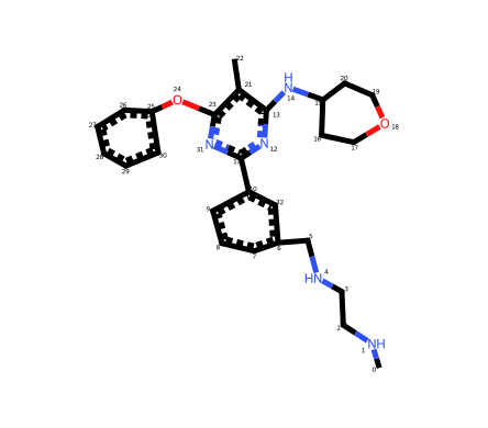 CNCCNCc1cccc(-c2nc(NC3CCOCC3)c(C)c(Oc3ccccc3)n2)c1